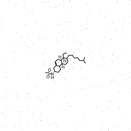 CC(C)CCC[C@@H](C)[C@H]1CC[C@H]2[C@@H]3CC=C4C[C@@H](NS(C)(=O)=O)CC[C@]4(C)[C@H]3CC[C@]12C